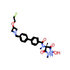 CNC(=O)[C@@](C)(C(=O)NO)N(C)C(=O)c1ccc(-c2ccc(CN3CC(OCCF)C3)cc2)cc1